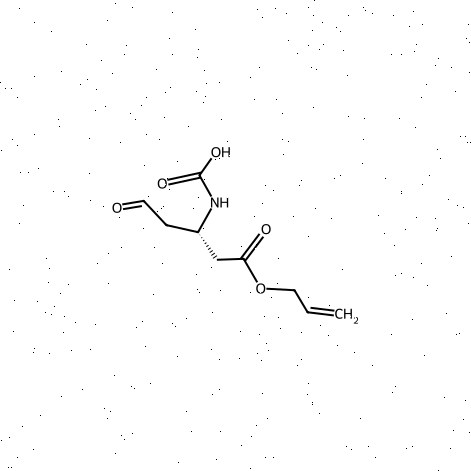 C=CCOC(=O)C[C@H](CC=O)NC(=O)O